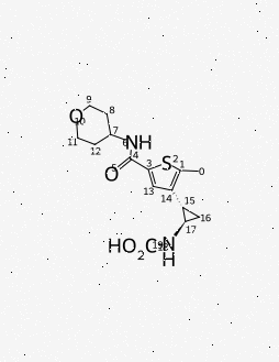 Cc1sc(C(=O)NC2CCOCC2)cc1[C@@H]1C[C@H]1NC(=O)O